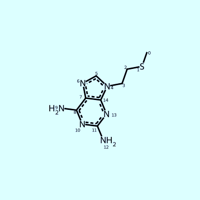 CSCCn1cnc2c(N)nc(N)nc21